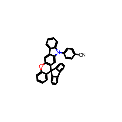 N#Cc1ccc(-n2c3ccccc3c3cc4c(cc32)C2(c3ccccc3O4)c3ccccc3-c3ccccc32)cc1